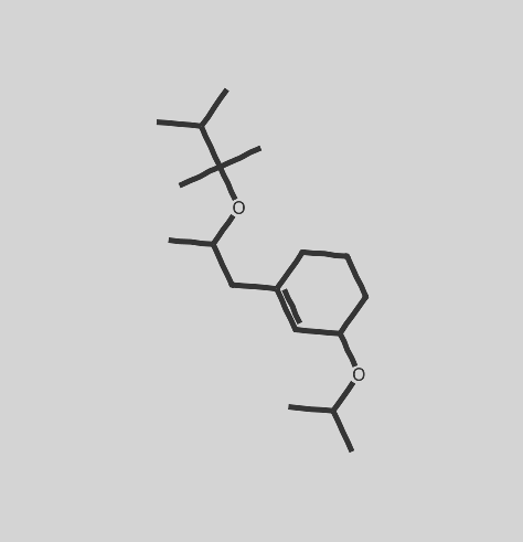 CC(C)OC1C=C(CC(C)OC(C)(C)C(C)C)CCC1